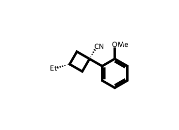 CC[C@H]1C[C@](C#N)(c2ccccc2OC)C1